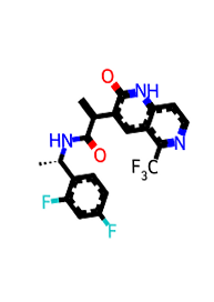 C=C(C(=O)N[C@@H](C)c1ccc(F)cc1F)c1cc2c(C(F)(F)F)nccc2[nH]c1=O